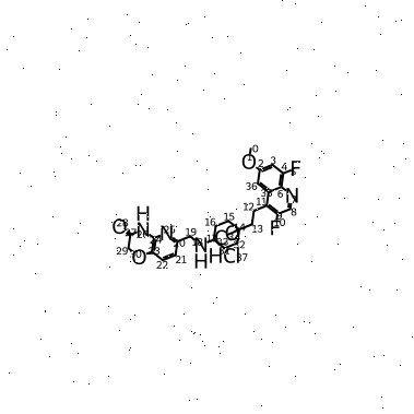 COc1cc(F)c2ncc(F)c(CCC34CCC(NCc5ccc6c(n5)NC(=O)CO6)(CC3)CO4)c2c1.Cl